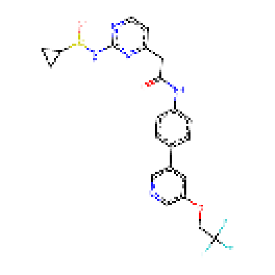 O=C(Cc1ccnc(N[S+]([O-])C2CC2)n1)Nc1ccc(-c2cncc(OCC(F)(F)F)c2)cc1